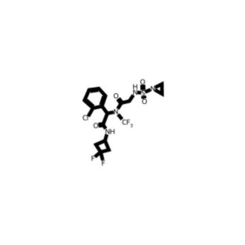 O=C(NC1CC(F)(F)C1)C(c1ccccc1Cl)N(C(=O)CNS(=O)(=O)N1CC1)C(F)(F)F